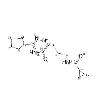 O=C(NCCCc1nnc(C2CCCC2)[nH]c1=O)C1CC1